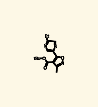 CCc1cnc(-c2onc(C)c2C(=O)OC(C)(C)C)cn1